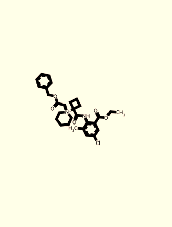 CCOC(=O)c1cc(Cl)cc(C)c1NC(=O)C1([N+]2(CC(=O)OCc3ccccc3)CCCCC2)CCC1